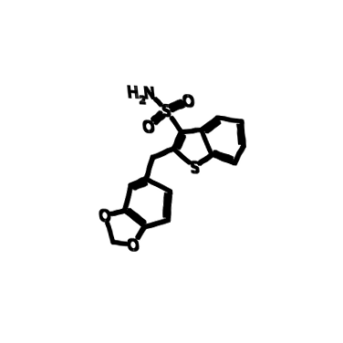 NS(=O)(=O)c1c(Cc2ccc3c(c2)OCO3)sc2ccccc12